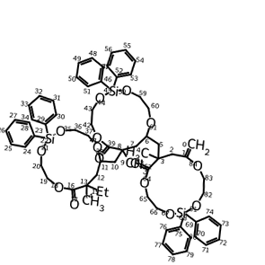 C=C1CC(C)(CC2CC(C)(CC3CC(C)(CC)C(=O)OCCO[Si](c4ccccc4)(c4ccccc4)OCCO3)C(=O)OCCO[Si](c3ccccc3)(c3ccccc3)OCCO2)C(=O)OCCO[Si](c2ccccc2)(c2ccccc2)OCCO1